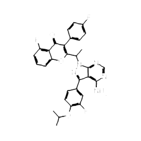 CC(C)Oc1ccc(-c2nn(C(C)c3oc4cccc(F)c4c(=O)c3-c3ccc(F)cc3)c3ncnc(N)c23)cc1F